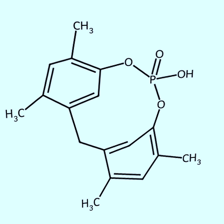 Cc1cc(C)c2cc1Cc1cc(c(C)cc1C)OP(=O)(O)O2